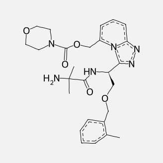 Cc1ccccc1COC[C@@H](NC(=O)C(C)(C)N)c1nnc2cccc(COC(=O)N3CCOCC3)n12